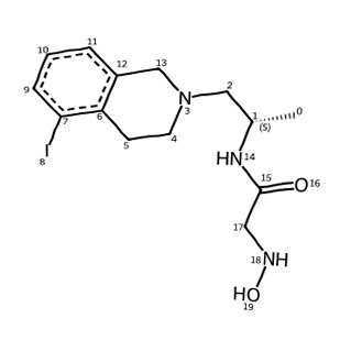 C[C@@H](CN1CCc2c(I)cccc2C1)NC(=O)CNO